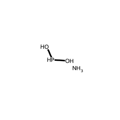 N.OPO